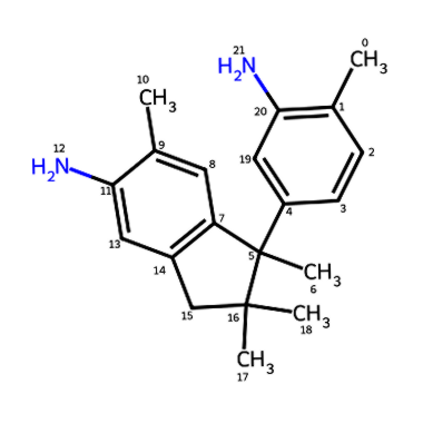 Cc1ccc(C2(C)c3cc(C)c(N)cc3CC2(C)C)cc1N